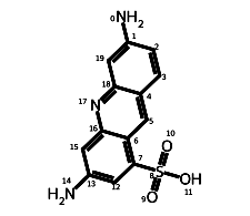 Nc1ccc2cc3c(S(=O)(=O)O)cc(N)cc3nc2c1